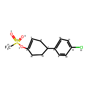 O=S(=O)(OC1=CCC(c2ccc(Cl)cc2)CC1)C(F)(F)F